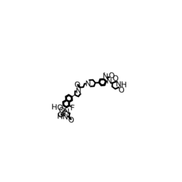 Cn1c(=O)n(C2CCC(=O)NC2=O)c2ccc(C3CCN(CCC(=O)N4CC[C@@H](c5ccc6cc(O)c(N7CC(=O)NS7(=O)=O)c(F)c6c5)C4)CC3)cc21